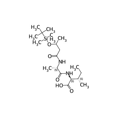 CC[C@H](C)[C@H](NC(=O)[C@H](C)NC(=O)CC(C)O[Si](C)(C)C(C)(C)C)C(=O)O